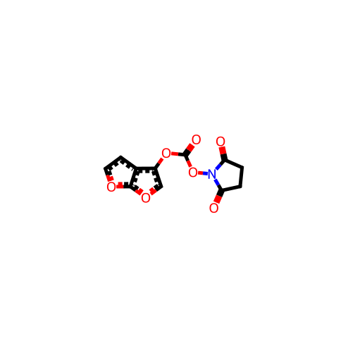 O=C(Oc1coc2occc12)ON1C(=O)CCC1=O